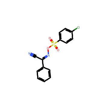 N#CC(=NOS(=O)(=O)c1ccc(Cl)cc1)c1ccccc1